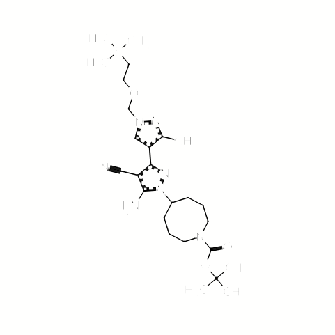 Cc1nn(COCCS(C)(C)C)cc1-c1nn(C2CCCN(C(=O)OC(C)(C)C)CCC2)c(N)c1C#N